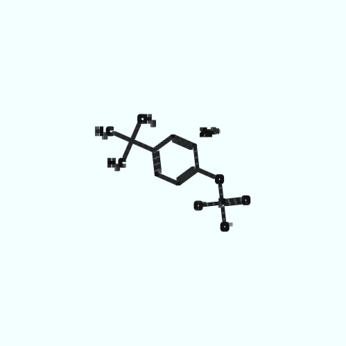 CC(C)(C)c1ccc(OP(=O)([O-])[O-])cc1.[Zn+2]